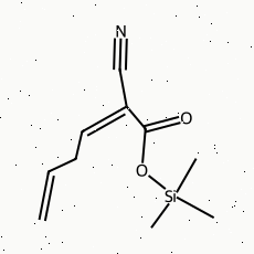 C=CCC=C(C#N)C(=O)O[Si](C)(C)C